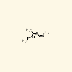 C=CN/C(C)=N\C=N/C